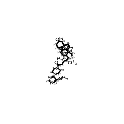 C[C@H](CCC(=O)N1CCN(c2ncncc2N)CC1)[C@H]1CC[C@H]2[C@@H]3CC=C4C[C@@H](O)CC[C@]4(C)[C@H]3CC[C@]12C